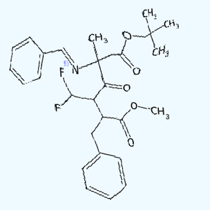 COC(=O)C(Cc1ccccc1)C(C(=O)C(C)(/N=C/c1ccccc1)C(=O)OC(C)(C)C)C(F)F